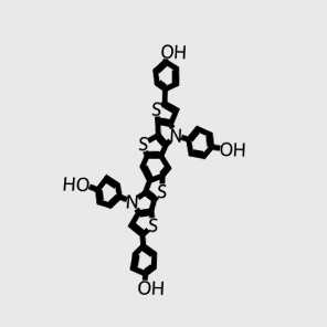 Oc1ccc(-c2cc3c(s2)c2sc4cc5c(cc4c2n3-c2ccc(O)cc2)sc2c3sc(-c4ccc(O)cc4)cc3n(-c3ccc(O)cc3)c52)cc1